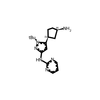 CC(C)(C)n1nc(Nc2ncccn2)cc1[C@H]1CC[C@@H](N)C1